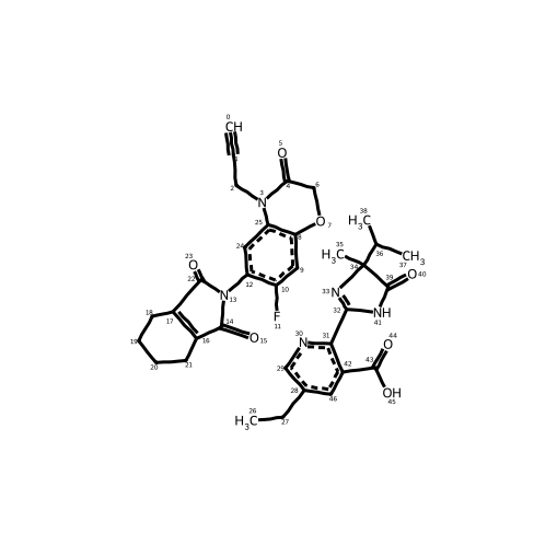 C#CCN1C(=O)COc2cc(F)c(N3C(=O)C4=C(CCCC4)C3=O)cc21.CCc1cnc(C2=NC(C)(C(C)C)C(=O)N2)c(C(=O)O)c1